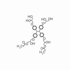 C=CC(=O)OCC(O)COc1ccc(C(c2ccc(OCC(O)CO)cc2)C(c2ccc(OCC(O)CO)cc2)c2ccc(OCC(O)COC(=O)C=C)cc2)cc1